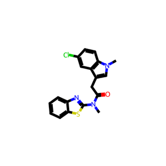 CN(C(=O)Cc1cn(C)c2ccc(Cl)cc12)c1nc2ccccc2s1